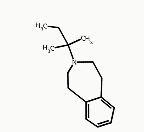 CCC(C)(C)N1CCc2ccccc2CC1